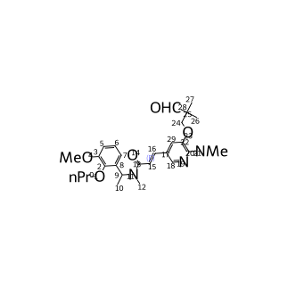 CCCOc1c(OC)cccc1C(C)N(C)C(=O)/C=C/c1cnc(NC)c(OCC(C)(C)C=O)c1